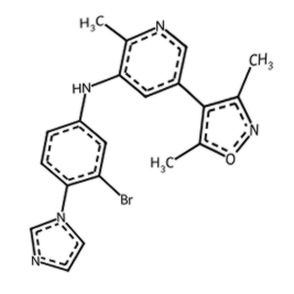 Cc1ncc(-c2c(C)noc2C)cc1Nc1ccc(-n2ccnc2)c(Br)c1